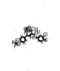 CN1C(C(=O)Nc2ccc(F)c(Cl)c2)=CC(c2ccc(OC(F)(F)F)cc2)=NS1(=O)=O